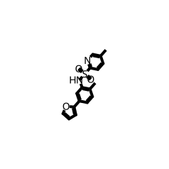 Cc1ccc(S(=O)(=O)Nc2cc(-c3ccco3)ccc2C)nc1